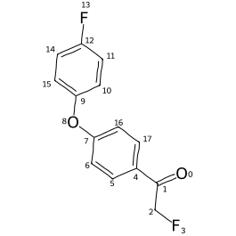 O=C(CF)c1ccc(Oc2ccc(F)cc2)cc1